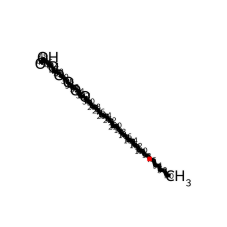 CCCCCCCCCCCCCCCCCCCCCCCCCCCCCCCCOCCOCCOCCOCCOCCC(=O)O